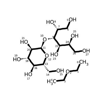 CCOCC.OC[C@@H](O)[C@@H](O[C@H]1O[C@H](CO)[C@@H](O)[C@H](O)[C@H]1O)[C@H](O)[C@@H](O)CO